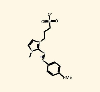 CNc1ccc(/N=N/c2n(C)cc[n+]2CCCS(=O)(=O)[O-])cc1